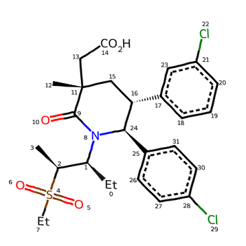 CC[C@@H]([C@H](C)S(=O)(=O)CC)N1C(=O)[C@](C)(CC(=O)O)C[C@H](c2cccc(Cl)c2)[C@H]1c1ccc(Cl)cc1